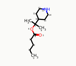 CCCCC(=O)OC(C)(C)C1CCNCC1